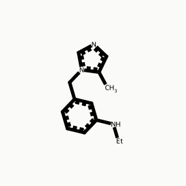 CCNc1cccc(Cn2cncc2C)c1